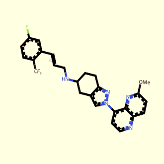 COc1ccc2nccc(-n3cc4c(n3)CCC(NC/C=C/c3cc(F)ccc3C(F)(F)F)C4)c2n1